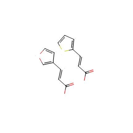 O=C(O)C=Cc1cccs1.O=C(O)C=Cc1ccoc1